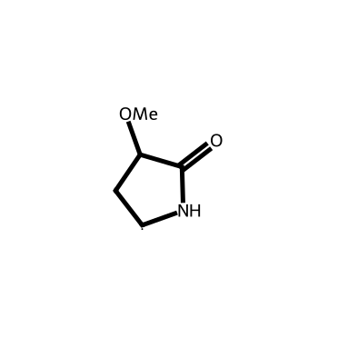 COC1C[CH]NC1=O